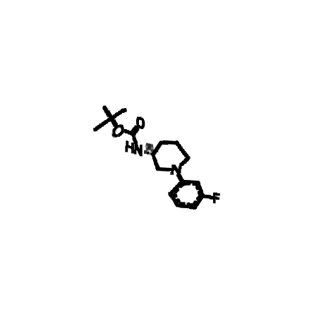 CC(C)(C)OC(=O)N[C@@H]1CCCN(c2cccc(F)c2)C1